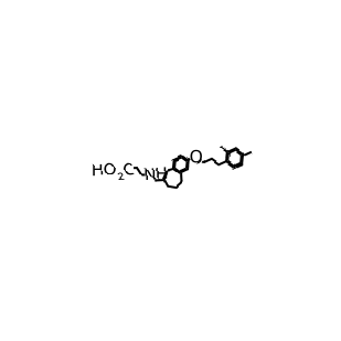 Cc1ccc(CCCOc2ccc3c(c2)CCCC(CNCCC(=O)O)=C3)c(C)c1